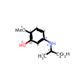 COc1ccc(NC(C)C(=O)O)cc1O